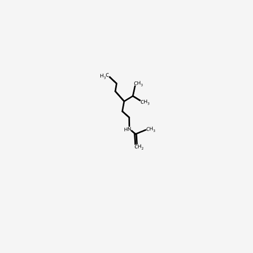 C=C(C)NCCC(CCC)C(C)C